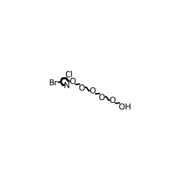 OCCOCCOCCOCCOCCOc1ncc(Br)cc1Cl